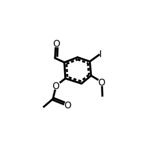 COc1cc(OC(C)=O)c(C=O)cc1I